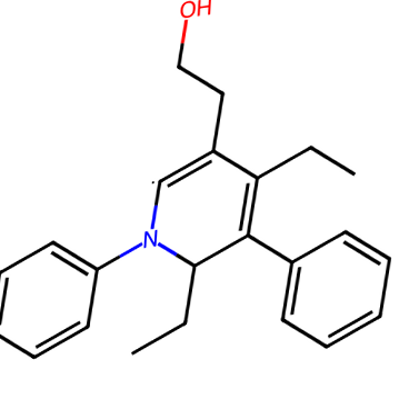 CCC1=C(c2ccccc2)C(CC)N(c2ccccc2)[C]=C1CCO